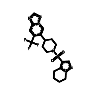 O=S(=O)(c1cnn2c1CCCC2)N1CCC(c2cn3ncnc3cc2C(F)(F)F)CC1